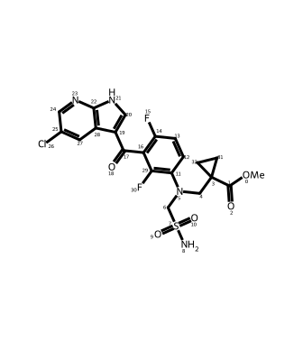 COC(=O)C1(CN(CS(N)(=O)=O)c2ccc(F)c(C(=O)c3c[nH]c4ncc(Cl)cc34)c2F)CC1